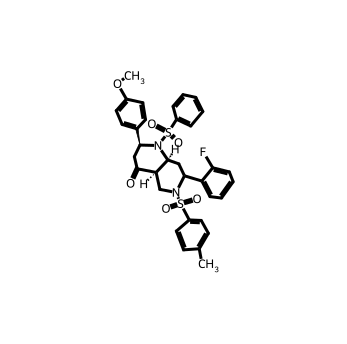 COc1ccc([C@@H]2CC(=O)[C@@H]3CN(S(=O)(=O)c4ccc(C)cc4)C(c4ccccc4F)C[C@@H]3N2S(=O)(=O)c2ccccc2)cc1